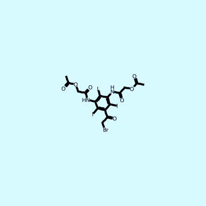 CC(=O)OCC(=O)Nc1c(I)c(NC(=O)COC(C)=O)c(I)c(C(=O)CBr)c1I